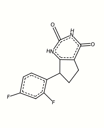 O=c1[nH]c2c(c(=O)[nH]1)CCC2c1ccc(F)cc1F